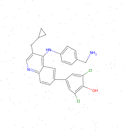 NCc1ccc(Nc2c([C]C3CC3)cnc3ccc(-c4cc(Cl)c(O)c(Cl)c4)cc23)cc1